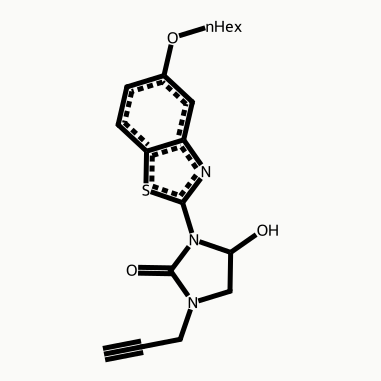 C#CCN1CC(O)N(c2nc3cc(OCCCCCC)ccc3s2)C1=O